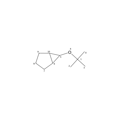 CC(C)(C)OC1C2CCCC21